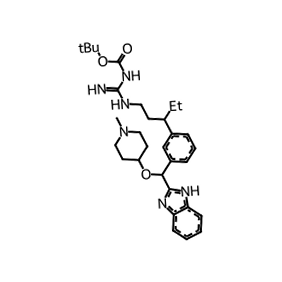 CCC(CCNC(=N)NC(=O)OC(C)(C)C)c1cccc(C(OC2CCN(C)CC2)c2nc3ccccc3[nH]2)c1